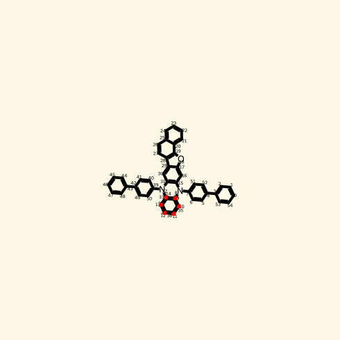 c1ccc(-c2ccc(N(c3ccccc3)c3cc4oc5c6ccccc6ccc5c4cc3N(c3ccccc3)c3ccc(-c4ccccc4)cc3)cc2)cc1